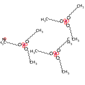 CCCCCCCCCc1ccc(OP(Oc2ccc(CCCCCCCCC)cc2)Oc2ccc(CCCCCCCCC)cc2)cc1.CCCCCCCCCc1ccc(OP(Oc2ccc(CCCCCCCCC)cc2)Oc2ccc(CCCCCCCCC)cc2)cc1.CCCCCCCCCc1ccc(OP(Oc2ccc(CCCCCCCCC)cc2)Oc2ccc(CCCCCCCCC)cc2)cc1.[C]=O.[Ni]